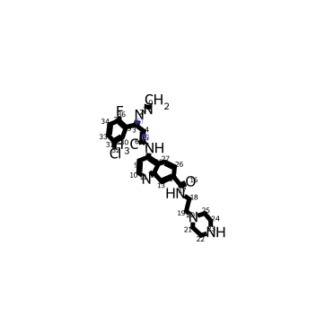 C=N/N=C(\C=C(/C)Nc1ccnc2cc(C(=O)NCCN3CCNCC3)ccc12)c1cc(Cl)ccc1F